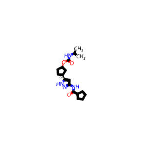 CC(C)NC(=O)O[C@@H]1CC[C@H](c2cc(NC(=O)C3CCCC3)n[nH]2)C1